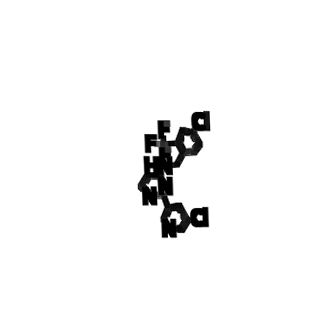 FC(F)(F)c1cc(Cl)ccc1CNc1ccnc(-c2cncc(Cl)c2)n1